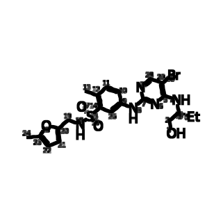 CC[C@H](CO)Nc1nc(Nc2ccc(C)c(S(=O)(=O)NCc3ccc(C)o3)c2)ncc1Br